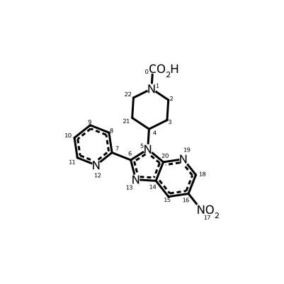 O=C(O)N1CCC(n2c(-c3ccccn3)nc3cc([N+](=O)[O-])cnc32)CC1